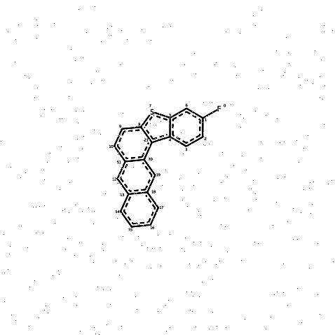 Fc1ccc2c(c1)sc1ccc3cc4ccccc4cc3c12